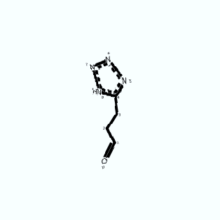 O=[C]CCc1nnn[nH]1